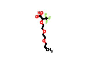 C=CCOCCOCCOC(C(=O)O)C(F)(F)F